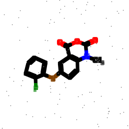 Cn1c(=O)oc(=O)c2cc(Sc3ccccc3F)ccc21